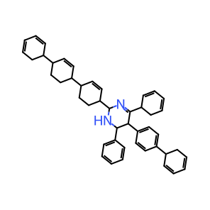 C1=CCC(C2=NC(C3C=CC(C4C=CC(C5C=CC=CC5)CC4)CC3)NC(c3ccccc3)C2c2ccc(C3C=CC=CC3)cc2)C=C1